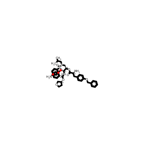 CC(C)CN(C[C@@H](OC(=O)[C@@H](N)Cc1ccc(OCc2ccccc2)cc1)[C@H](Cc1ccccc1)NC(=O)O[C@H]1CCOC1)S(=O)(=O)c1ccc(N)cc1